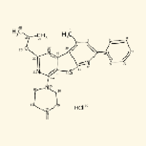 Cc1cc(-c2ccccc2)nc2sc3c(N4CCNCC4)nc(OC(C)C)nc3c12.Cl